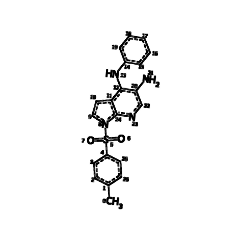 Cc1ccc(S(=O)(=O)n2ccc3c(Nc4ccccc4)c(N)cnc32)cc1